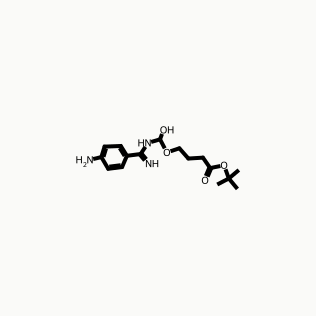 CC(C)(C)OC(=O)CCCOC(O)NC(=N)c1ccc(N)cc1